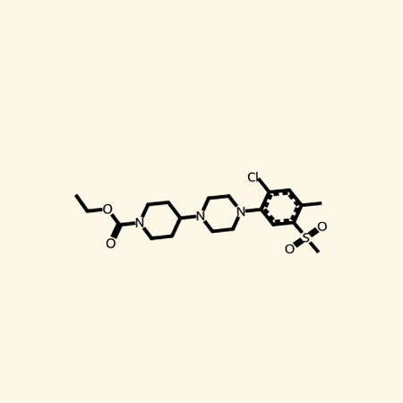 CCOC(=O)N1CCC(N2CCN(c3cc(S(C)(=O)=O)c(C)cc3Cl)CC2)CC1